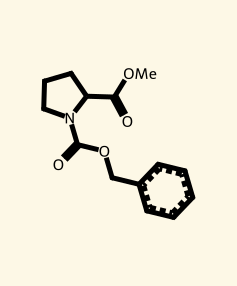 COC(=O)C1CCCN1C(=O)OCc1ccccc1